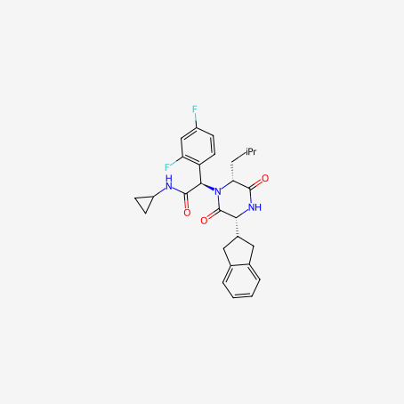 CC(C)C[C@@H]1C(=O)N[C@H](C2Cc3ccccc3C2)C(=O)N1[C@@H](C(=O)NC1CC1)c1ccc(F)cc1F